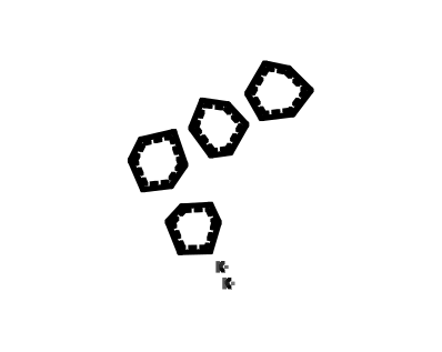 [K].[K].c1ccccc1.c1ccccc1.c1ccccc1.c1ccccc1